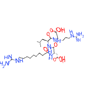 CC(C)C[C@H](NC(=O)[C@H](CC(=O)O)NC(=O)CCCCCCCCNC(=N)N)C(=O)N[C@@H](CCCNC(=N)N)C(=O)O